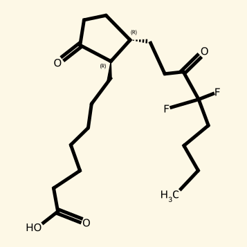 CCCCC(F)(F)C(=O)CC[C@H]1CCC(=O)[C@@H]1CCCCCCC(=O)O